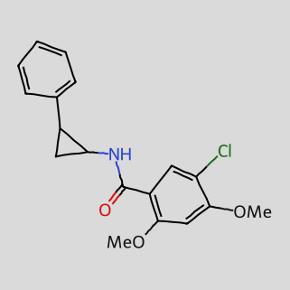 COc1cc(OC)c(C(=O)NC2CC2c2ccccc2)cc1Cl